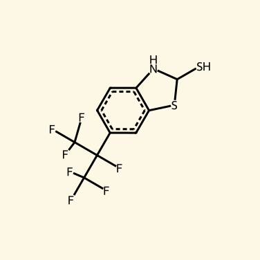 FC(F)(F)C(F)(c1ccc2c(c1)SC(S)N2)C(F)(F)F